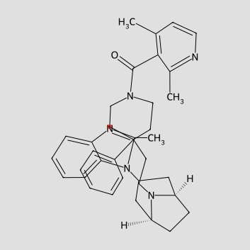 Cc1ccnc(C)c1C(=O)N1CCC(CCN2[C@@H]3CC[C@H]2CC(n2c(C)nc4ccccc42)C3)(c2ccccc2)CC1